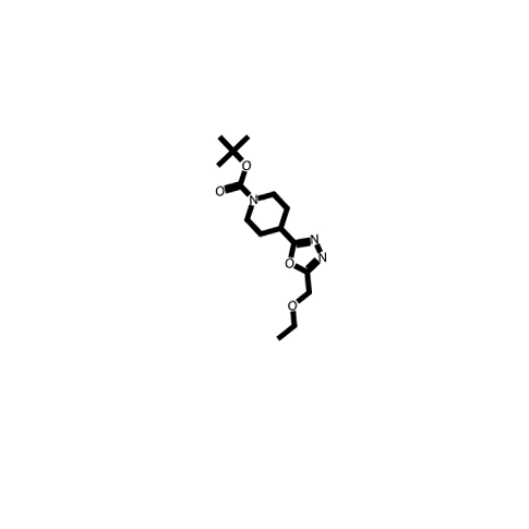 CCOCc1nnc(C2CCN(C(=O)OC(C)(C)C)CC2)o1